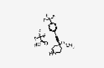 COC1(C#Cc2ccc(C(F)(F)F)cc2)CCNCC1.O=C(O)C(F)(F)F